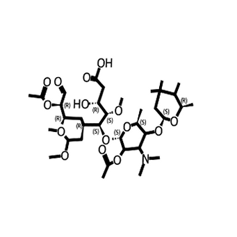 COC(C[C@@H](C[C@@H](C)[C@H](C=O)OC(C)=O)[C@H](O[C@@H]1O[C@@H](C)C(O[C@H]2CC(C)(C)C(C)[C@@H](C)O2)C(N(C)C)C1OC(C)=O)[C@@H](OC)[C@H](O)CC(=O)O)OC